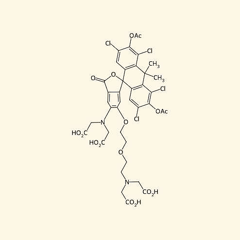 CC(=O)Oc1c(Cl)cc2c(c1Cl)C(C)(C)c1c(cc(Cl)c(OC(C)=O)c1Cl)C21OC(=O)c2cc(N(CC(=O)O)CC(=O)O)c(OCCOCCN(CC(=O)O)CC(=O)O)cc21